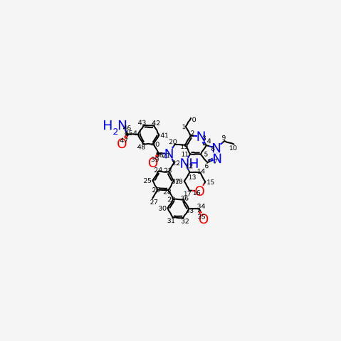 CCc1nc2c(cnn2CC)c(NC2CCOCC2)c1CN(Cc1ccc(C)c(-c2cccc(C=O)c2)c1)C(=O)c1cccc(C(N)=O)c1